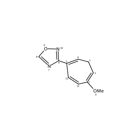 COC1=CCC=C(c2ncon2)C=C1